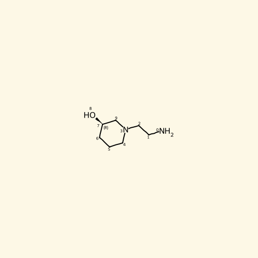 NCCN1CCC[C@@H](O)C1